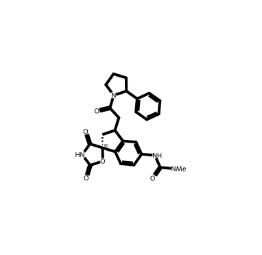 CNC(=O)Nc1ccc2c(c1)C(CC(=O)N1CCCC1c1ccccc1)C[C@@]21OC(=O)NC1=O